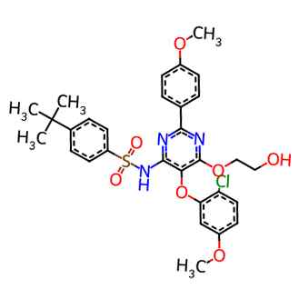 COc1ccc(-c2nc(NS(=O)(=O)c3ccc(C(C)(C)C)cc3)c(Oc3cc(OC)ccc3Cl)c(OCCO)n2)cc1